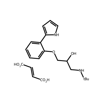 CC(C)(C)NCC(O)COc1ccccc1-c1ccc[nH]1.O=C(O)/C=C/C(=O)O